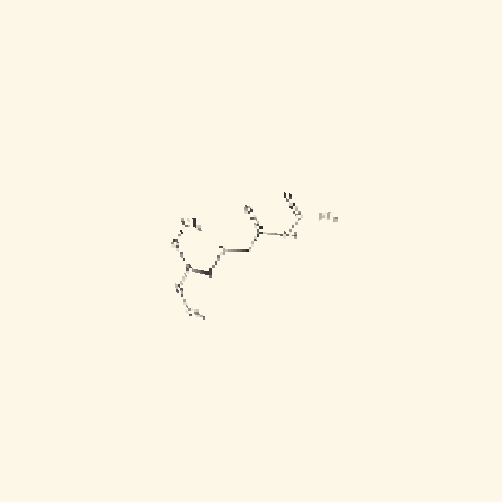 COP(OC)SSCC(=O)NC(N)=O